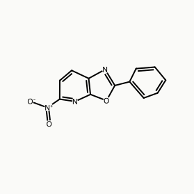 O=[N+]([O-])c1ccc2nc(-c3ccccc3)oc2n1